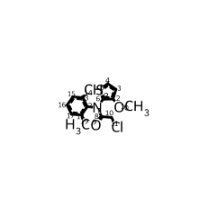 COc1ccsc1N(C(=O)CCl)c1c(C)cccc1C